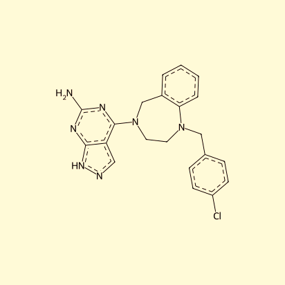 Nc1nc(N2CCN(Cc3ccc(Cl)cc3)c3ccccc3C2)c2cn[nH]c2n1